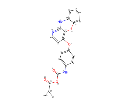 O=C(Nc1ccc(Oc2ccnc3c2Oc2ccccc2N3)cc1)OC(=O)C1CC1